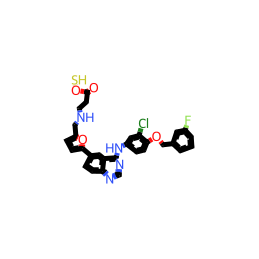 O=C(CCNCc1ccc(-c2ccc3ncnc(Nc4ccc(OCc5cccc(F)c5)c(Cl)c4)c3c2)o1)OS